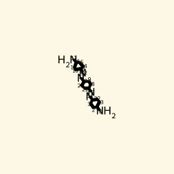 Nc1ccc(N=Nc2ccc(N=Nc3ccc(N)cc3)cc2)cc1